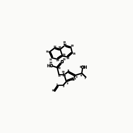 C=CCc1nc(C(C)O)cn1CC(=O)O.c1ccc2ncccc2c1